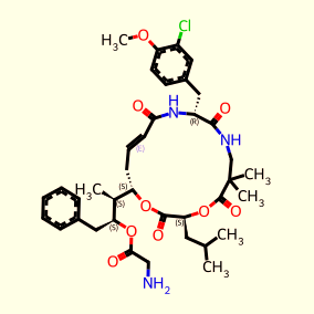 COc1ccc(C[C@H]2NC(=O)/C=C/C[C@@H]([C@H](C)[C@H](Cc3ccccc3)OC(=O)CN)OC(=O)[C@H](CC(C)C)OC(=O)C(C)(C)CNC2=O)cc1Cl